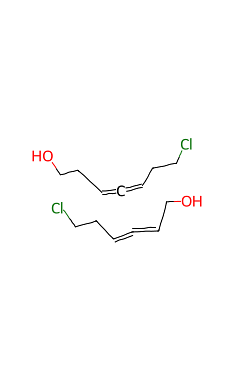 OCC=C=CCCCl.OCCC=C=CCCCl